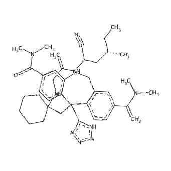 C=C(CNC1(CC2(c3nnn[nH]3)c3ccc(C(=C)N(C)C)cc3CCc3cc(C(=O)N(C)C)ccc32)CCCCC1)NC(C#N)C[C@@H](C)CC